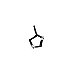 CC1CS[C]=N1